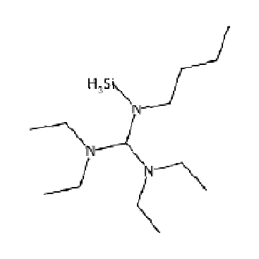 CCCCN([SiH3])C(N(CC)CC)N(CC)CC